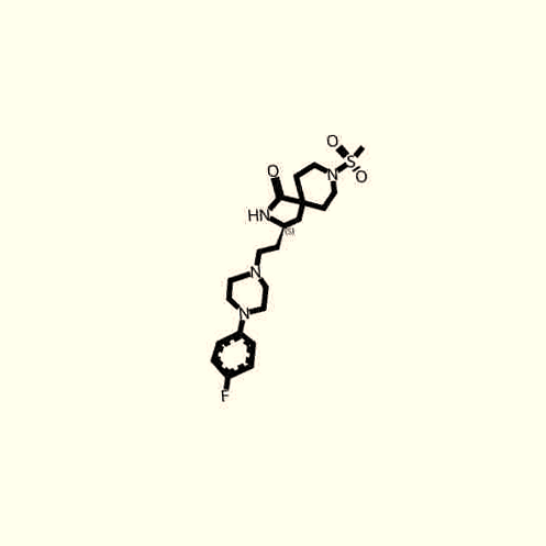 CS(=O)(=O)N1CCC2(CC1)C[C@@H](CCN1CCN(c3ccc(F)cc3)CC1)NC2=O